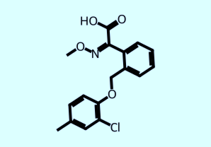 CON=C(C(=O)O)c1ccccc1COc1ccc(C)cc1Cl